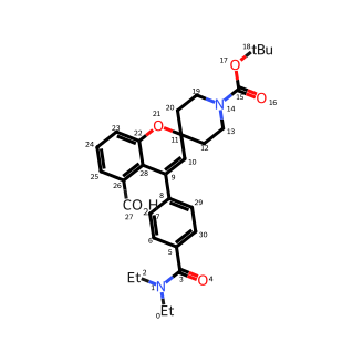 CCN(CC)C(=O)c1ccc(C2=CC3(CCN(C(=O)OC(C)(C)C)CC3)Oc3cccc(C(=O)O)c32)cc1